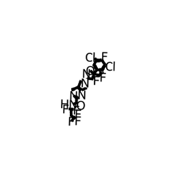 O=C(NC(F)(F)CC(F)(F)F)c1ncc2c(n1)CN(C1=NOC(c3cc(Cl)c(F)c(Cl)c3)(C(F)(F)F)C1)C2